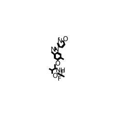 Cc1cc2c(cnn2-c2ccc(=O)n(C)c2)cc1OCC(NC(=O)C(C)(F)F)C(C)C